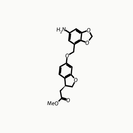 COC(=O)C[C@@H]1COc2cc(OCc3cc(N)cc4c3OCO4)ccc21